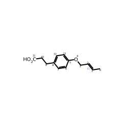 C/C=C/COc1ccc(CCC(=O)O)cc1